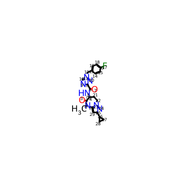 CN1C(=O)[C@@H](NC(=O)c2ncn(Cc3ccc(F)cc3)n2)CCn2nc(C3CC3)cc21